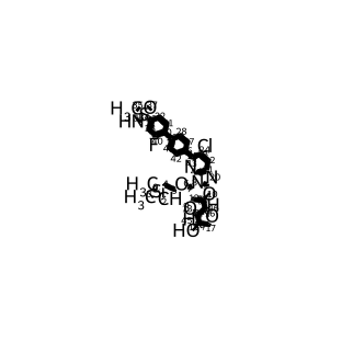 C[Si](C)(C)CCOCn1c(O[C@@H]2CO[C@H]3[C@@H]2OC[C@H]3O)nc2cc(Cl)c(-c3ccc(-c4ccc(S(C)(=N)=O)cc4F)cc3)nc21